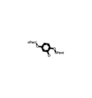 CCCCCOc1ccc(OCCCCC)c([O])c1